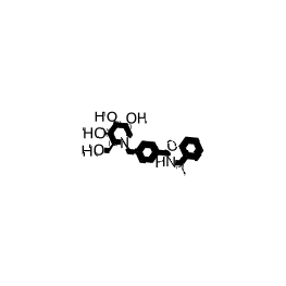 C[C@H](NC(=O)c1ccc(CN2C[C@H](O)[C@@H](O)[C@@H](O)[C@@H]2CO)cc1)c1ccccc1